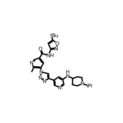 Cc1ncc(C(=O)Nc2cc(C(C)(C)C)on2)cc1-n1cc(-c2cncc(NC3CCN(C(C)C)CC3)c2)nn1